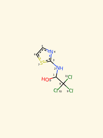 OC(Nc1nccs1)C(Cl)(Cl)Cl